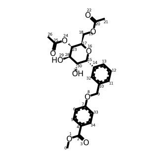 COC(=O)c1ccc(OCc2cccc([C@H]3O[C@H](COC(C)=O)[C@@H](OC(C)=O)[C@H](O)[C@H]3O)c2)cc1